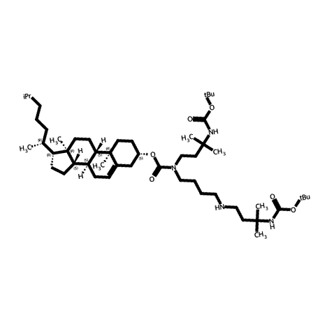 CC(C)CCC[C@@H](C)[C@H]1CC[C@H]2[C@@H]3CC=C4C[C@@H](OC(=O)N(CCCCNCCC(C)(C)NC(=O)OC(C)(C)C)CCC(C)(C)NC(=O)OC(C)(C)C)CC[C@]4(C)[C@H]3CC[C@]12C